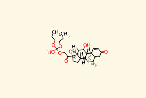 CCCOC(O)(OCCC)OCC(=O)[C@@]1(O)CC[C@H]2[C@@H]3C[C@H](F)C4=CC(=O)C=C[C@]4(C)[C@H]3C(O)C[C@@]21C